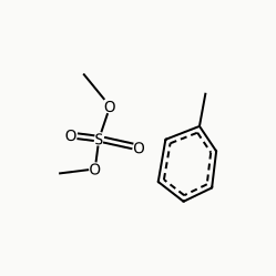 COS(=O)(=O)OC.Cc1ccccc1